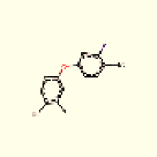 CCc1ccc(Oc2ccc(CC)c(I)c2)cc1C